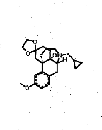 COc1ccc2c(c1)[C@]13CCCN(CC4CC4)[C@H](C2)[C@]1(O)CCC1(C3)OCCO1